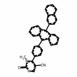 Cn1c(-c2ccc(-c3c4ccccc4c(-c4ccc5ccccc5c4)c4ccccc34)cc2)c(C#N)cnc1=O